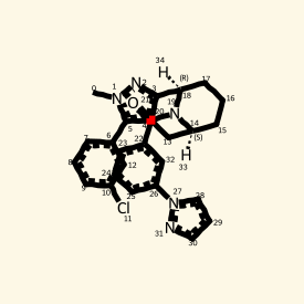 Cn1nc2c(c1-c1cccc(Cl)c1)C[C@@H]1CCC[C@H]2N1C(=O)c1cccc(-n2cccn2)c1